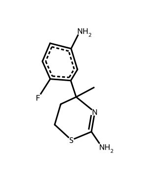 CC1(c2cc(N)ccc2F)CCSC(N)=N1